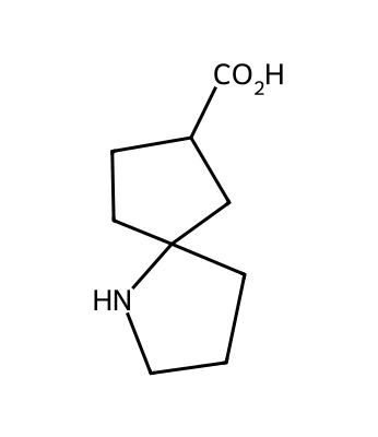 O=C(O)C1CCC2(CCCN2)C1